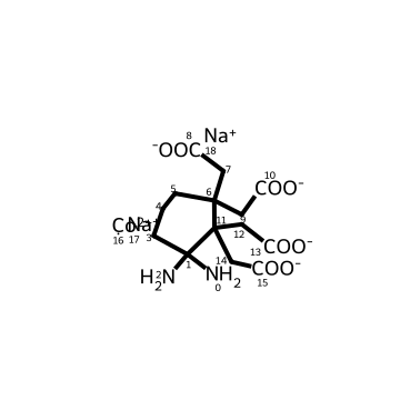 NC1(N)CCCC(CC(=O)[O-])(CC(=O)[O-])C1(CC(=O)[O-])CC(=O)[O-].[Co+2].[Na+].[Na+]